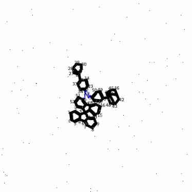 c1ccc2c(c1)-c1ccccc1C21c2ccccc2-c2c(N(c3ccc(C4CC5CCC4C5)cc3)c3ccc(C45CC6CC(CC(C6)C4)C5)cc3)cccc21